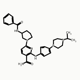 CC(C)N1CCN(c2ccc(Nc3nc(N4CCCC(NC(=O)c5ccccc5)C4)ccc3C(N)=O)cc2)CC1